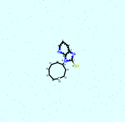 Sc1nc2cccnc2n1C1CCCCCCCC1